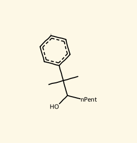 CCCCCC(O)C(C)(C)c1cc[c]cc1